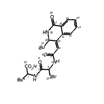 CCC(C)C(NC(=O)C(NC(=O)C=C1c2ccccc2C(=O)NC1C(C)CC)C(C)CC)C(=O)O